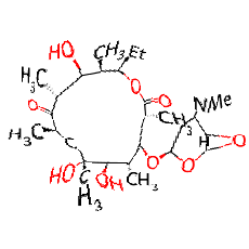 CC[C@H]1OC(=O)[C@H](C)[C@@H](O[C@H]2CC(NC)[C@@H]3OC3O2)[C@H](C)[C@@H](O)[C@](C)(O)C[C@@H](C)C(=O)[C@H](C)[C@@H](O)[C@H]1C